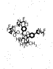 CC(C)(C)C[C@]1(c2ccc(-c3cnn(C(F)F)c3)cc2)NC(=N)N([C@H](COC(=O)NC2(C(F)(F)F)CC2)c2ccc(Cl)c(-n3ncnc3C(F)F)c2)C1=O